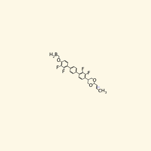 BCOc1ccc(-c2ccc(-c3ccc(C4COC(/C=C/C)OC4)c(F)c3F)cc2)c(F)c1F